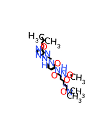 COC(=O)NC(CC/C=C/C(=O)N(C)C)C(=O)Nc1cccn(Cc2nc3c(OCC(C)C)ncnc3[nH]2)c1=O